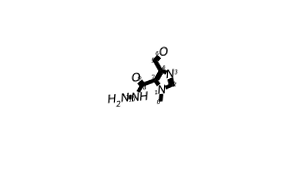 Cn1cnc(C=O)c1C(=O)NN